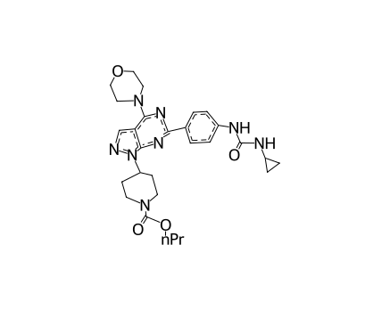 CCCOC(=O)N1CCC(n2ncc3c(N4CCOCC4)nc(-c4ccc(NC(=O)NC5CC5)cc4)nc32)CC1